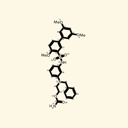 COc1cc(OC)cc(-c2ccc(OC)c(S(=O)(=O)Nc3cccc(N(CCOC(N)=O)Cc4ccccc4)c3)c2)c1